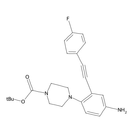 CC(C)(C)OC(=O)N1CCN(c2ccc(N)cc2C#Cc2ccc(F)cc2)CC1